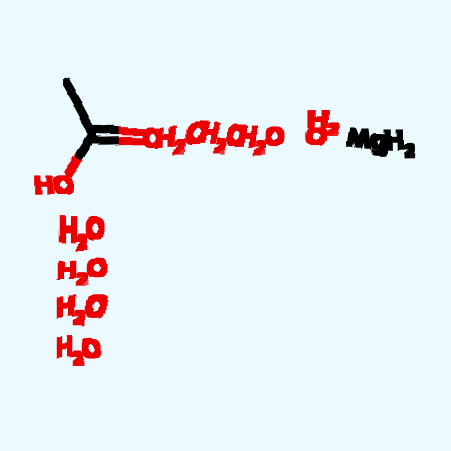 CC(=O)O.O.O.O.O.O.O.O.O.[MgH2]